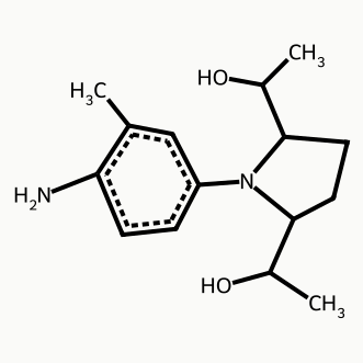 Cc1cc(N2C(C(C)O)CCC2C(C)O)ccc1N